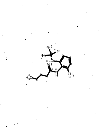 [2H]C([2H])([2H])Oc1cccc(C)c1NC(=N)CCCC